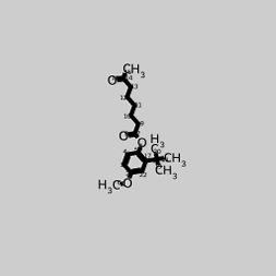 COc1ccc(OC(=O)CCCCCC(C)=O)c(C(C)(C)C)c1